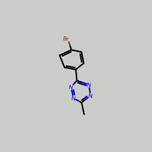 Cc1nnc(-c2ccc(Br)cc2)nn1